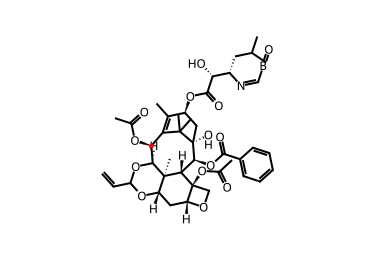 C=CC1O[C@H]2C[C@H]3OC[C@@]3(OC(C)=O)[C@H]3[C@H](OC(=O)c4ccccc4)[C@]4(O)C[C@H](OC(=O)[C@H](O)[C@H](CC(C)C)/N=C\B=O)C(C)=C([C@H](OC(C)=O)[C@H](O1)[C@]23C)C4(C)C